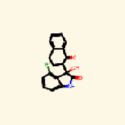 O=C1c2ccccc2CCC1C1(O)C(=O)Nc2cccc(Br)c21